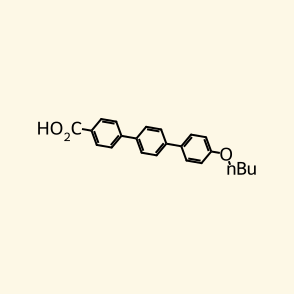 CCCCOc1ccc(-c2ccc(-c3ccc(C(=O)O)cc3)cc2)cc1